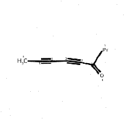 CC#CC#CC(=O)C(C)C